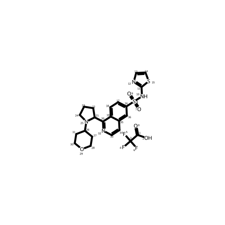 O=C(O)C(F)(F)F.O=S(=O)(Nc1nccs1)c1ccc2c(C3CCCN3C3CCOCC3)nccc2c1